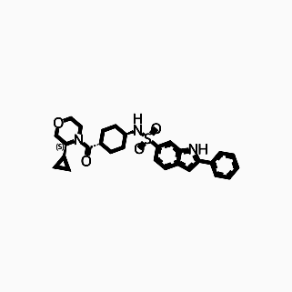 O=C([C@H]1CC[C@H](NS(=O)(=O)c2ccc3cc(-c4ccccc4)[nH]c3c2)CC1)N1CCOC[C@@H]1C1CC1